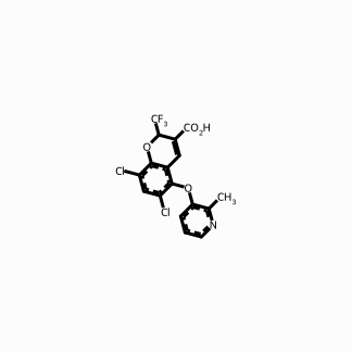 Cc1ncccc1Oc1c(Cl)cc(Cl)c2c1C=C(C(=O)O)C(C(F)(F)F)O2